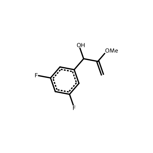 C=C(OC)C(O)c1cc(F)cc(F)c1